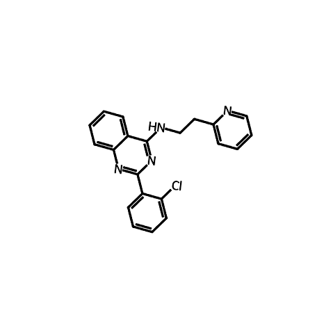 Clc1ccccc1-c1nc(NCCc2ccccn2)c2ccccc2n1